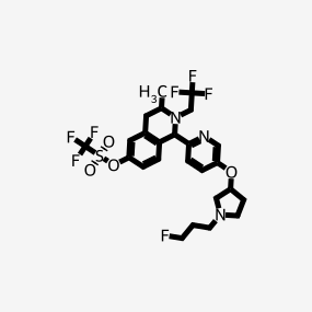 CC1Cc2cc(OS(=O)(=O)C(F)(F)F)ccc2C(c2ccc(OC3CCN(CCCF)C3)cn2)N1CC(F)(F)F